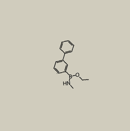 CCOB(NC)c1[c]ccc(-c2ccccc2)c1